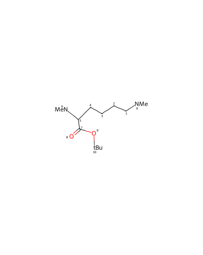 CNCCCCC(NC)C(=O)OC(C)(C)C